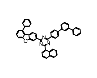 c1ccc(-c2cccc(-c3ccc(-c4nc(-c5ccc6c(c5)oc5cccc(-c7ccccc7)c56)nc(-c5cccc6ccccc56)n4)cc3)c2)cc1